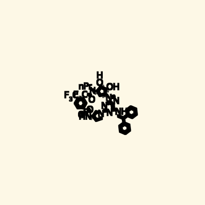 CCCN(C(=O)C(F)(F)F)[C@H]1C[C@@H](n2cnc3c(NCC(c4ccccc4)c4ccccc4)nc(N4CC[C@@H](NS(=O)(=O)c5ccc(C(F)(F)F)cc5)C4)nc32)[C@H](O)[C@@H]1O